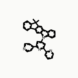 CC1(C)c2ccccc2-c2cc3c(cc21)c1ccccc1n3-c1cc(-c2ccncc2)nc(-c2ccccn2)c1